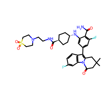 CC1(C)CC(=O)n2c(c(-c3cc(F)c(C(N)=O)c(N[C@H]4CC[C@H](C(=O)NCCN5CCS(=O)(=O)CC5)CC4)c3)c3ccc(F)cc32)C1